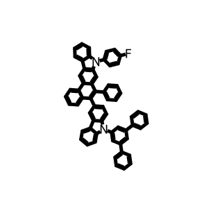 Fc1ccc(-n2c3ccccc3c3cc4c(cc32)c(-c2ccccc2)c(-c2ccc3c(c2)c2ccccc2n3-c2cc(-c3ccccc3)cc(-c3ccccc3)c2)c2ccccc24)cc1